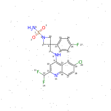 NS(=O)(=O)N1CC(CNc2cc(C(F)F)nc3ccc(Cl)cc23)(c2ccc(F)cc2)C1